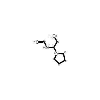 CCC(N[C]=O)N1CCCC1